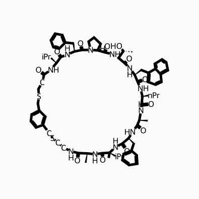 CCC[C@@H]1NC(=O)[C@H](Cc2cccc3ccccc23)NC(=O)[C@H]([C@@H](C)O)NC(=O)[C@@H]2CCCN2C(=O)[C@H](Cc2ccccc2)NC(=O)[C@H](C(C)C)NC(=O)CCSCc2cccc(c2)CSCCNC(=O)[C@H](C)NC(=O)[C@](C)(C(C)C)NC(=O)[C@H](Cc2ccccc2)NC(=O)[C@H](C)NC1=O